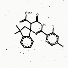 COC(=O)C1C(=O)NC(c2ncc(F)cc2F)=NC12CC(C)(C)c1ccccc12